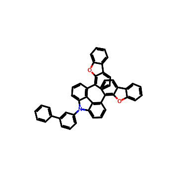 c1ccc(-c2cccc(-n3c4cccc(-c5cccc6c5oc5ccccc56)c4c4c(-c5cccc6c5oc5ccccc56)cccc43)c2)cc1